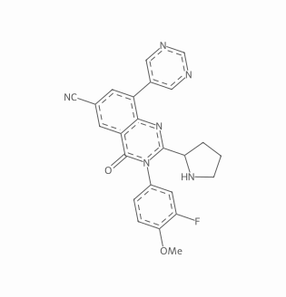 COc1ccc(-n2c(C3CCCN3)nc3c(-c4cncnc4)cc(C#N)cc3c2=O)cc1F